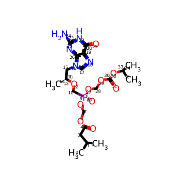 CC(C)CC(=O)OCOP(=O)(CO[C@H](C)Cn1cnc2c(=O)[nH]c(N)nc21)OCOC(=O)OC(C)C